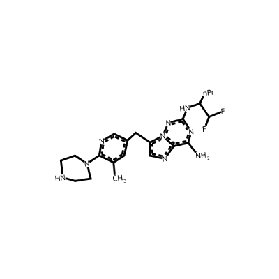 CCCC(Nc1nc(N)c2ncc(Cc3cnc(N4CCNCC4)c(C)c3)n2n1)C(F)F